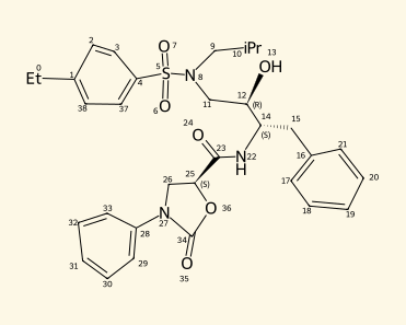 CCc1ccc(S(=O)(=O)N(CC(C)C)C[C@@H](O)[C@H](Cc2ccccc2)NC(=O)[C@@H]2CN(c3ccccc3)C(=O)O2)cc1